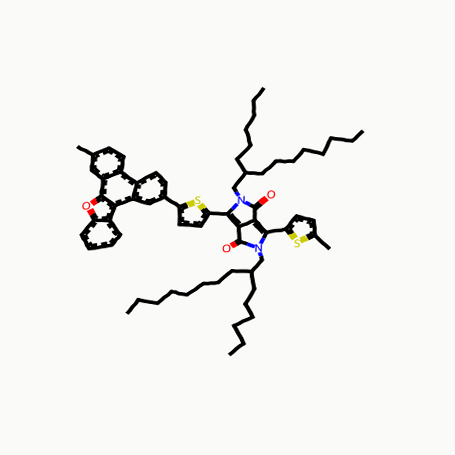 CCCCCCCCC(CCCCCC)CN1C(=O)C2=C(c3ccc(-c4ccc5c6ccc(C)cc6c6oc7ccccc7c6c5c4)s3)N(CC(CCCCCC)CCCCCCCC)C(=O)C2=C1c1ccc(C)s1